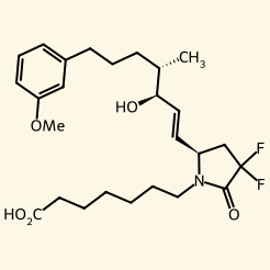 COc1cccc(CCC[C@H](C)[C@H](O)C=C[C@H]2CC(F)(F)C(=O)N2CCCCCCC(=O)O)c1